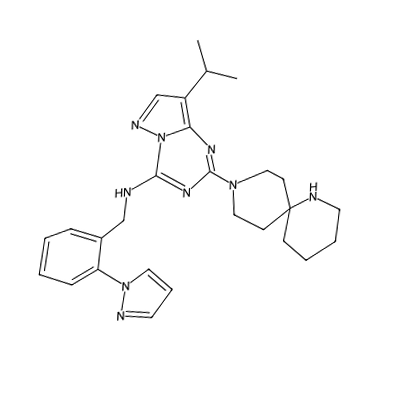 CC(C)c1cnn2c(NCc3ccccc3-n3cccn3)nc(N3CCC4(CCCCN4)CC3)nc12